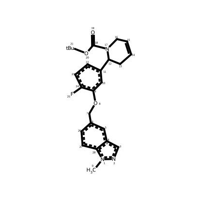 Cn1ncc2cc(COc3cc(C4CC=CCN4C(=O)OC(C)(C)C)ccc3F)ccc21